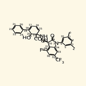 Cc1cc(C)cc(N2C(=O)C(=NNC3(C(=O)O)C=CC=C(c4ccccc4)C3O)c3c(F)cc(C(F)(F)F)cc32)c1